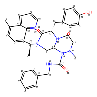 Cc1ccc([C@H](C)N2CC3N(C(=O)CN(C)N3C(=O)NCc3ccccc3)[C@@H](Cc3ccc(O)cc3)C2=O)c2ncccc12